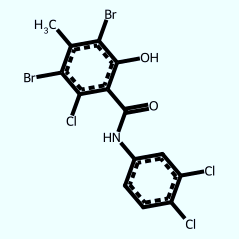 Cc1c(Br)c(O)c(C(=O)Nc2ccc(Cl)c(Cl)c2)c(Cl)c1Br